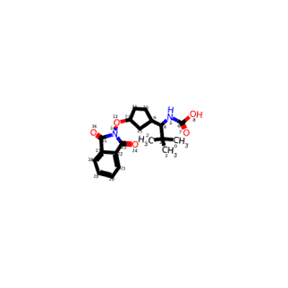 CC(C)(C)C(NC(=O)O)C1CCC(ON2C(=O)c3ccccc3C2=O)C1